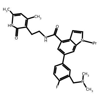 Cc1cc(C)c(CCNC(=O)c2cc(-c3ccc(F)c(CN(C)C)c3)cc3c2ccn3C(C)C)c(=O)[nH]1